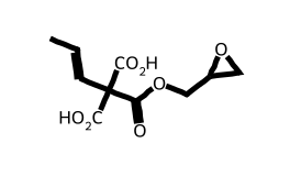 C/C=C/C(C(=O)O)(C(=O)O)C(=O)OCC1CO1